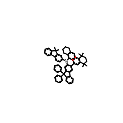 CC1(C)CCC(C)(C)c2cc(-c3cc4c(cc3N(c3ccc5c(c3)C(C)(C)c3ccccc3-5)c3cccc5c3CCCC5)C(c3ccccc3)(c3ccccc3)c3ccccc3-4)ccc21